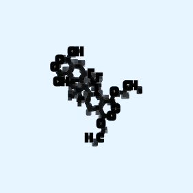 CCOC(=O)c1ccc(C(c2ccc(C(=O)O)c(C(=O)O)c2)(C(F)(F)F)C(F)(F)F)cc1C(=O)OCC